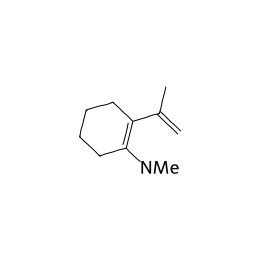 C=C(C)C1=C(NC)CCCC1